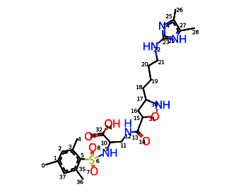 Cc1cc(C)c(S(=O)(=O)NC(CNC(=O)C2CC(CCCCNc3nc(C)c(C)[nH]3)NO2)C(=O)O)c(C)c1